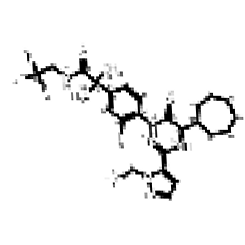 CCn1nccc1C(=O)NC(C(=O)Nc1ccc(C(C)(C)C(=O)NCC(F)(F)F)cc1F)C1CCCCCC1